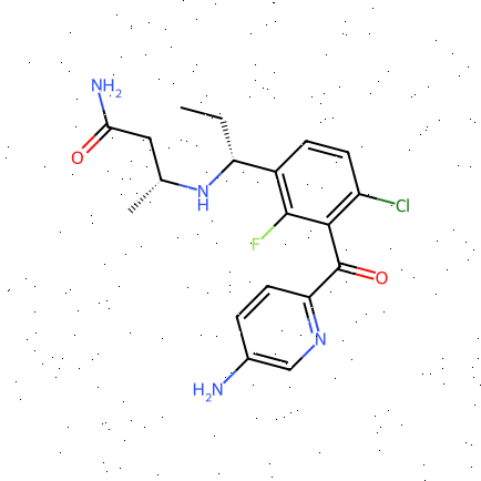 CC[C@@H](N[C@H](C)CC(N)=O)c1ccc(Cl)c(C(=O)c2ccc(N)cn2)c1F